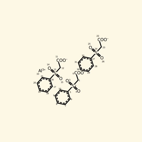 O=C([O-])CS(=O)(=O)c1ccccc1.O=C([O-])CS(=O)(=O)c1ccccc1.O=C([O-])CS(=O)(=O)c1ccccc1.[Al+3]